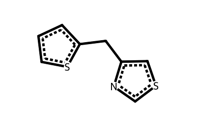 c1csc(Cc2cscn2)c1